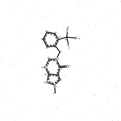 Cn1cc2c(=O)n(Cc3ccccc3C(F)(F)F)cnc2n1